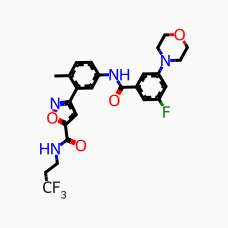 Cc1ccc(NC(=O)c2cc(F)cc(N3CCOCC3)c2)cc1-c1cc(C(=O)NCCC(F)(F)F)on1